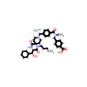 CCCCN1C(=O)[C@@H]([C@H](O)C2CCCCC2)NC(=O)C12CCN(Cc1ccc(C(=O)N(C)Cc3ccc(C(=O)O)cc3)cc1)CC2.Cl